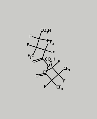 O=C(O)C(F)(F)C(F)(C(F)(F)F)C(F)(C(=O)OC(=O)C(F)(C(F)(F)F)C(F)(C(F)(F)F)C(F)(F)C(=O)O)C(F)(F)F